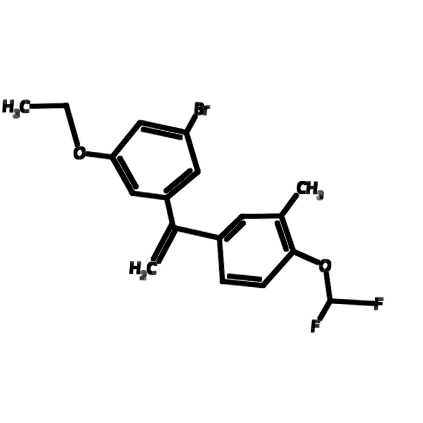 C=C(c1cc(Br)cc(OCC)c1)c1ccc(OC(F)F)c(C)c1